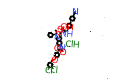 CCC(c1ccccc1)N1Cc2cc3c(cc2C[C@H]1C(=O)NC(Cc1ccc(-c2ccc(C#N)cc2)cc1)C(=O)O)N(C)C(=O)[C@@H](c1ccc(OCc2ccc(Cl)c(Cl)c2)cc1)O3.Cl